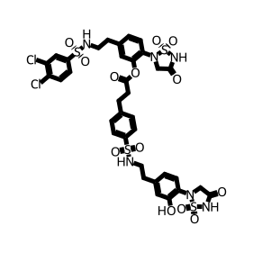 O=C1CN(c2ccc(CCNS(=O)(=O)c3ccc(CCC(=O)Oc4cc(CCNS(=O)(=O)c5ccc(Cl)c(Cl)c5)ccc4N4CC(=O)NS4(=O)=O)cc3)cc2O)S(=O)(=O)N1